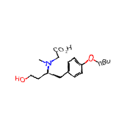 CCCCOc1ccc(C[C@@H](CCO)N(C)CC(=O)O)cc1